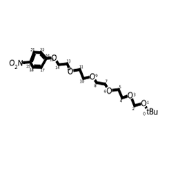 CC(C)(C)OCOCCOCCOCCOCCOc1ccc([N+](=O)[O-])cc1